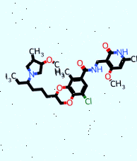 CCC(CCCC1COc2c(Cl)cc(C(=O)NCc3c(OC)cc(C)[nH]c3=O)c(C)c2O1)N1CC(C)C(OC)C1